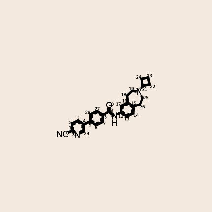 N#Cc1ccc(-c2ccc(C(=O)Nc3ccc4c(c3)CCN(C3CCC3)CC4)cc2)cn1